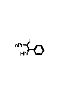 CCCC(I)C(=N)c1ccccc1